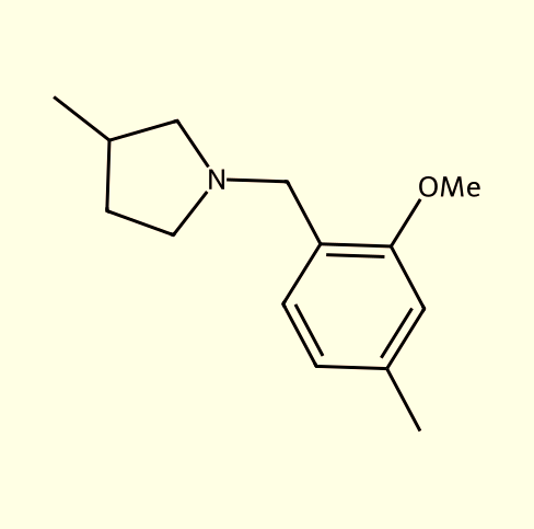 COc1cc(C)ccc1CN1CCC(C)C1